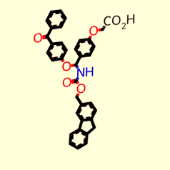 O=C(O)COc1ccc(C(NC(=O)OCc2ccc3c(c2)-c2ccccc2C3)Oc2ccc(C(=O)c3ccccc3)cc2)cc1